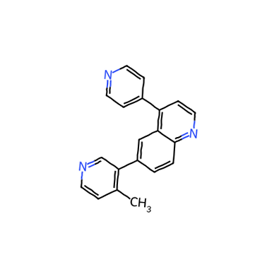 Cc1ccncc1-c1ccc2nccc(-c3ccncc3)c2c1